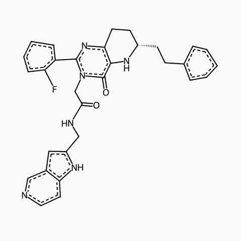 O=C(Cn1c(-c2ccccc2F)nc2c(c1=O)N[C@@H](CCc1ccccc1)CC2)NCc1cc2cnccc2[nH]1